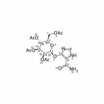 CC(=O)OC[C@H]1O[C@@H](Oc2nc[nH]c2C(N)=O)[C@@H](OC(C)=O)[C@@H](OC(C)=O)[C@@H]1OC(C)=O